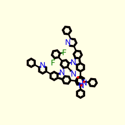 N#Cc1c(-n2c3cc(-c4ccc(-c5ccccc5)nc4)ccc3c3ccc(-c4ccc(-c5ccccc5)nc4)cc32)cc(-c2c(F)cccc2F)cc1-n1c2cc(-c3ccc(-c4ccccc4)nc3)ccc2c2ccc(-c3ccc(-c4ccccc4)nc3)cc21